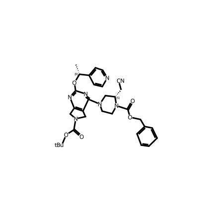 C[C@@H](Oc1nc2c(c(N3CCN(C(=O)OCc4ccccc4)[C@@H](CC#N)C3)n1)CN(C(=O)OC(C)(C)C)C2)c1ccncc1